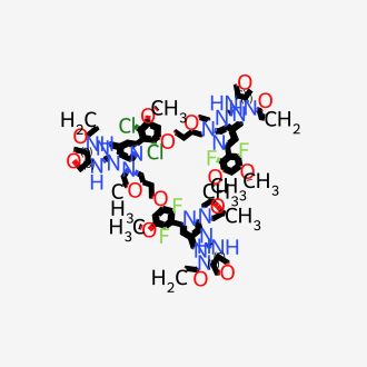 C=CC(=O)N[C@H]1COC[C@H]1Nc1ncc2cc(-c3c(F)c(OC)cc(OC)c3F)nc(N3CCOC(CCOc4cc(OC)c(Cl)c(-c5cc6cnc(N[C@@H]7COC[C@@H]7NC(=O)C=C)nc6c(N6CC(C)OC(CCOc7cc(OC)c(F)c(-c8cc9cnc(N[C@@H]%10COC[C@@H]%10NC(=O)C=C)nc9c(N9CC(C)OC(C)C9)n8)c7F)C6)n5)c4Cl)C3)c2n1